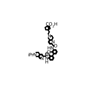 CC(C)N1CCc2cc(C(=O)Nc3cccc(-c4cccc(NC(=O)c5ccc6c(n5)CCN(CCC57CCC(C(=O)O)(CC5)C7)C6)c4Cl)c3Cl)ncc2C1